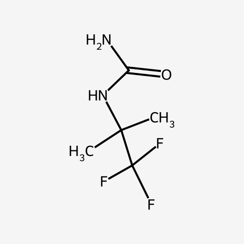 CC(C)(NC(N)=O)C(F)(F)F